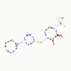 CC1(n2ccn(Cc3cn(-c4ccccn4)nn3)c(=O)c2=O)CC1